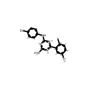 CCc1ccc(Nc2nc(N)nc(-c3cc(Cl)ccc3C)n2)cc1